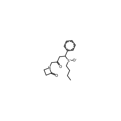 CCCC[S+]([O-])C(CC(=O)CN1CCC1=O)c1ccccc1